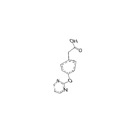 O=C(O)Cc1ccc(Oc2ncccn2)cc1